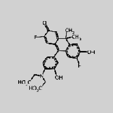 CC1(C)C2=CC(=O)C(F)=CC2=C(c2ccc(N(CC(=O)O)CC(=O)O)c(O)c2)c2cc(F)c(O)cc21